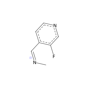 C/N=C\c1ccncc1F